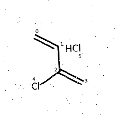 C=CC(=C)Cl.Cl